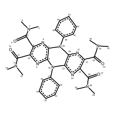 CN(C)C(=O)c1nc2c(nc1C(=O)N(C)C)N(c1ccccc1)c1nc(C(=O)N(C)C)c(C(=O)N(C)C)nc1N2c1ccccc1